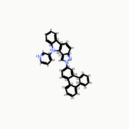 c1cncc(-n2c3ccccc3c3ccc4nn(-c5ccc6c7ccccc7c7ccccc7c6c5)cc4c32)c1